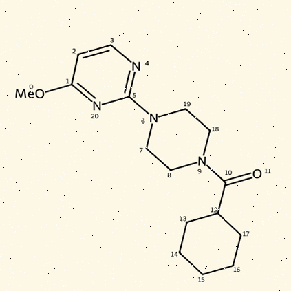 COc1ccnc(N2CCN(C(=O)C3CCCCC3)CC2)n1